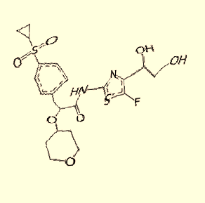 O=C(Nc1nc(C(O)CO)c(F)s1)C(OC1CCOCC1)c1ccc(S(=O)(=O)C2CC2)cc1